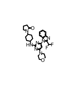 O=C1CCCN1C1CCC(Nc2nc(N3CCOCC3)cc(-n3c(C(F)F)nc4ccccc43)n2)CC1